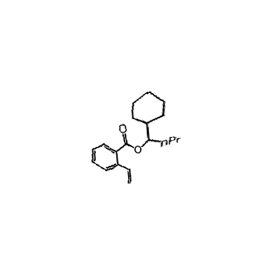 C=Cc1ccccc1C(=O)OC(CCC)C1CCCCC1